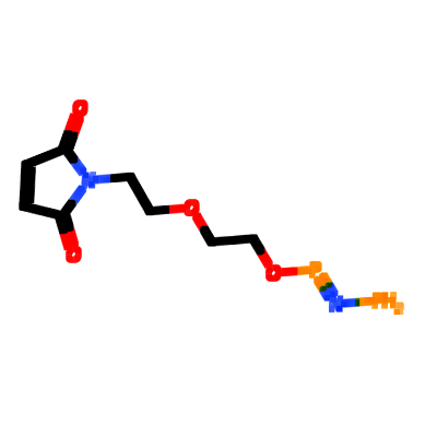 O=C1C=CC(=O)N1CCOCCO/P=N/P